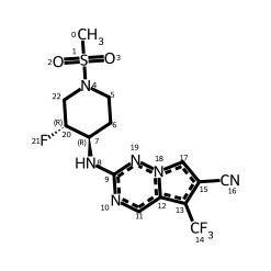 CS(=O)(=O)N1CC[C@@H](Nc2ncc3c(C(F)(F)F)c(C#N)cn3n2)[C@H](F)C1